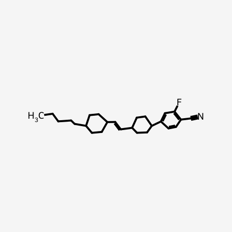 CCCCCC1CCC(C=CC2CCC(c3ccc(C#N)c(F)c3)CC2)CC1